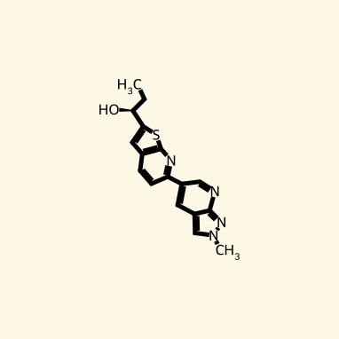 CC[C@H](O)c1cc2ccc(-c3cnc4nn(C)cc4c3)nc2s1